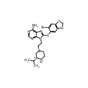 CC(C)[C@H]1C[C@@H](CCn2c(Sc3cc4c(cc3Br)OCO4)nc3c(N)ncnc32)CCN1